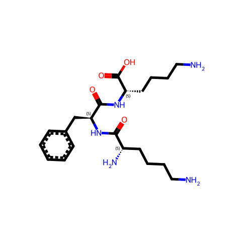 NCCCC[C@H](NC(=O)[C@H](Cc1ccccc1)NC(=O)[C@@H](N)CCCCN)C(=O)O